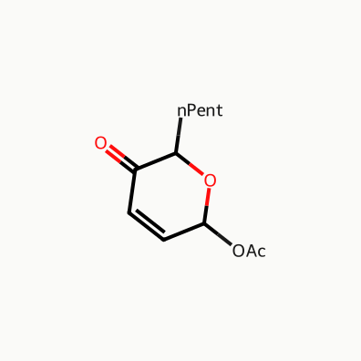 CCCCCC1OC(OC(C)=O)C=CC1=O